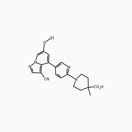 CCOc1cc(-c2ccc(N3CCC(C)(C(=O)O)CC3)nc2)c2c(C#N)cnn2c1